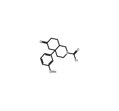 CCC(=O)N1CCC2(c3cccc(OC)c3)CC(=O)CCC2C1